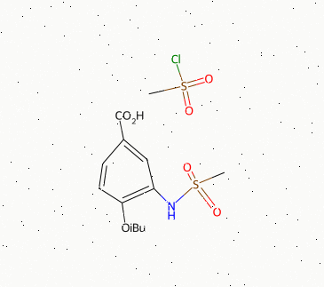 CC(C)COc1ccc(C(=O)O)cc1NS(C)(=O)=O.CS(=O)(=O)Cl